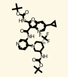 CC(C)(C)OC(=O)Nc1oc2cc(C3CC3)cnc2c1C(=O)Nc1cnccc1N1CC(NC(=O)OC(C)(C)C)C[C@@H](C(F)(F)F)C1